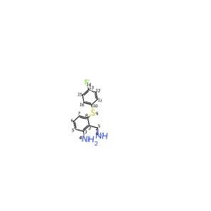 N=Cc1c(N)cccc1Sc1ccc(F)cc1